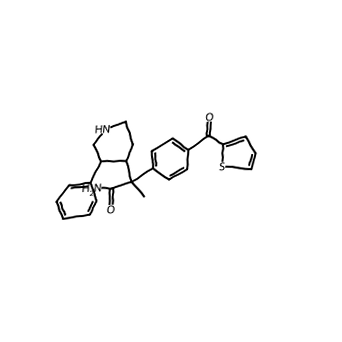 CC(C(N)=O)(c1ccc(C(=O)c2cccs2)cc1)C1CCNCC1c1ccccc1